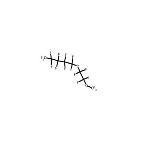 FC(F)(F)OC(F)(F)C(F)(F)OC(F)(F)C(F)(F)C(F)(F)C(F)(F)C(F)(F)F